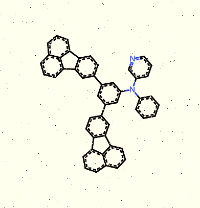 c1ccc(N(c2cccnc2)c2cc(-c3ccc4c(c3)-c3cccc5cccc-4c35)cc(-c3ccc4c(c3)-c3cccc5cccc-4c35)c2)cc1